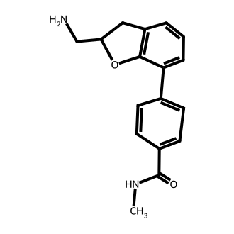 CNC(=O)c1ccc(-c2cccc3c2OC(CN)C3)cc1